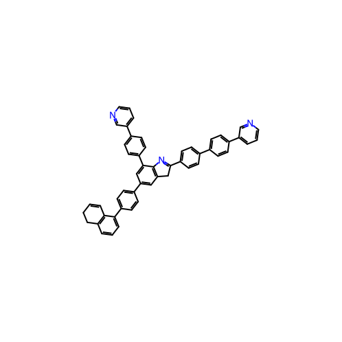 C1=Cc2c(cccc2-c2ccc(-c3cc4c(c(-c5ccc(-c6cccnc6)cc5)c3)N=C(c3ccc(-c5ccc(-c6cccnc6)cc5)cc3)C4)cc2)CC1